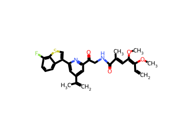 C=C/C(OC)=C(\C=C(/C)C(=O)NCC(=O)c1cc(C(=C)C)cc(-c2csc3c(F)cccc23)n1)OC